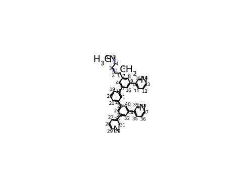 C=C(/C=C\C=N/C)c1cc(-c2cccnc2)cc(-c2cccc(-c3cc(-c4cccnc4)cc(-c4cccnc4)c3)c2)c1